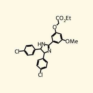 CCOC(=O)COc1cc(OC)cc(C2=NC(c3ccc(Cl)cc3)C(c3ccc(Cl)cc3)N2)c1